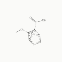 COc1c(C(=O)O)c2ccc1o2